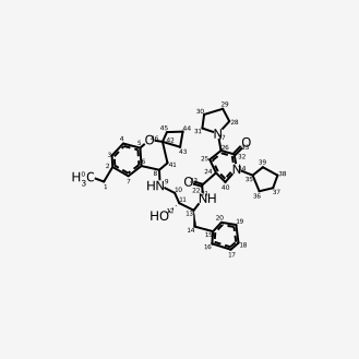 CCc1ccc2c(c1)C(NC[C@@H](O)[C@H](Cc1ccccc1)NC(=O)c1cc(N3CCCC3)c(=O)n(C3CCCC3)c1)CC1(CCC1)O2